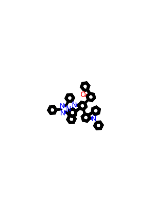 c1ccc(-c2nc(-c3ccccc3)nc(-c3ccccc3-n3c4ccccc4c4c(-c5cccc6c5c5ccccc5n6-c5ccccc5)cc(-c5cccc6c5oc5ccccc56)cc43)n2)cc1